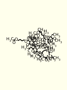 C/C=C/C[C@@H](C)[C@H]1ON(C(=O)[C@H](C(C)C)N(C)C(=O)[C@@H]2CC(C)N(C(=O)[C@H](C)NC(=O)[C@H](CC(C)C)N(C)C(=O)[C@@H](NC(=O)[C@H]([C@H](C)OCCCCOC(C)=O)N(C)C(=O)[C@@H](C)N(C)C(=O)OC(C)(C)C)C(C)C)[C@H](C)C(=O)N(C)[C@@H](CC(C)C)C(=O)N2C)[C@@H]1C(=O)N[C@@H](CC)C(=O)OC